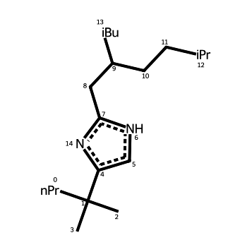 CCCC(C)(C)c1c[nH]c(CC(CCC(C)C)C(C)CC)n1